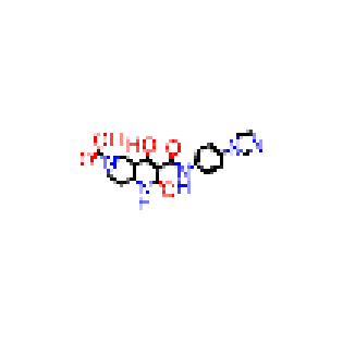 O=C(Nc1ccc(-n2ccnc2)cc1)C1=C(O)C2CN(C(=O)O)CCC2NC1=O